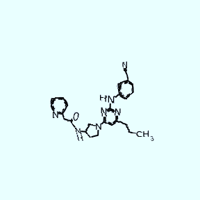 CCCc1cc(N2CCC(NC(=O)Cc3ccccn3)C2)nc(Nc2cccc(C#N)c2)n1